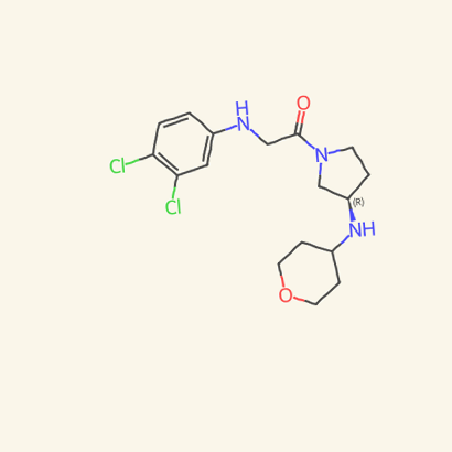 O=C(CNc1ccc(Cl)c(Cl)c1)N1CC[C@@H](NC2CCOCC2)C1